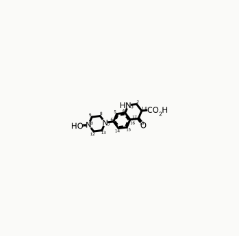 O=C(O)C1CNc2cc(N3CCN(O)CC3)ccc2C1=O